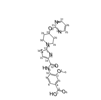 COc1cc(C(=O)O)ccc1NC(=O)c1csc(N2CCC(Oc3ncccn3)CC2)n1